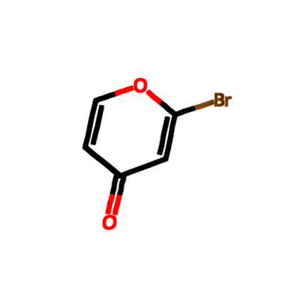 O=c1ccoc(Br)c1